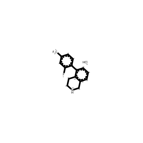 Cl.Fc1cc(C(F)(F)F)ccc1-c1cccc2c1CCNC2